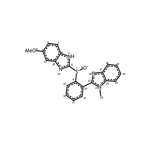 COc1ccc2[nH]c([S+]([O-])c3ccccc3-c3nc4ccccc4n3C)nc2c1